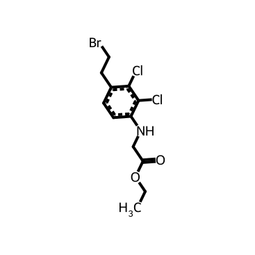 CCOC(=O)CNc1ccc(CCBr)c(Cl)c1Cl